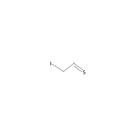 S=[C]CI